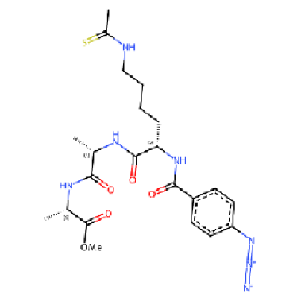 COC(=O)[C@H](C)NC(=O)[C@H](C)NC(=O)[C@H](CCCCNC(C)=S)NC(=O)c1ccc(N=[N+]=[N-])cc1